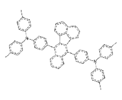 Cc1ccc(N(c2ccc(C)cc2)c2ccc(-c3c4c(c(-c5ccc(N(c6ccc(C)cc6)c6ccc(C)cc6)cc5)c5ccccc35)-c3cccc5cccc-4c35)cc2)cc1